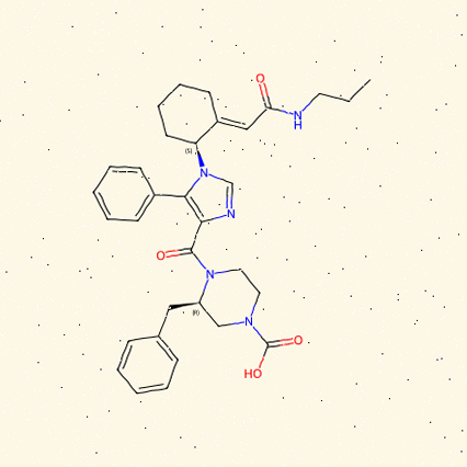 CCCNC(=O)C=C1CCCC[C@@H]1n1cnc(C(=O)N2CCN(C(=O)O)C[C@H]2Cc2ccccc2)c1-c1ccccc1